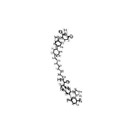 O=C1CCC(Nc2ccc(C3CCN(CCCCCCCCNC(=O)c4cnn5ccc(N6CCC[C@@H]6c6cc(F)ccc6F)nc45)CC3)cc2)C(=O)N1